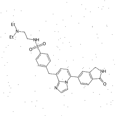 CCN(CC)CCNS(=O)(=O)c1ccc(Cc2ccc(-c3ccc4c(c3)CNC4=O)n3ccnc23)cc1